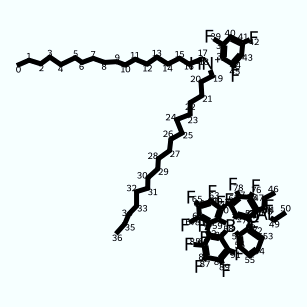 CCCCCCCCCCCCCCCCCC[NH+](CCCCCCCCCCCCCCCCCC)c1c(F)cc(F)cc1F.C[CH2][Al]([CH2]C)[O]c1ccccc1[B-](c1c(F)c(F)c(F)c(F)c1F)(c1c(F)c(F)c(F)c(F)c1F)c1c(F)c(F)c(F)c(F)c1F